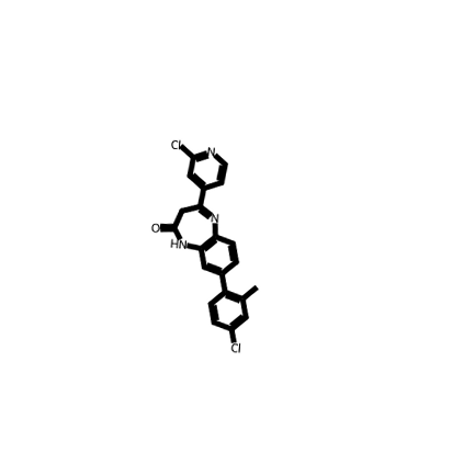 Cc1cc(Cl)ccc1-c1ccc2c(c1)NC(=O)CC(c1ccnc(Cl)c1)=N2